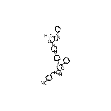 Cc1c(C(=O)N2CCN(c3ccc(N(Cc4cncn4Cc4ccc(C#N)cc4)C(=O)c4ccccc4)cc3)CC2)cnn1-c1ccccc1